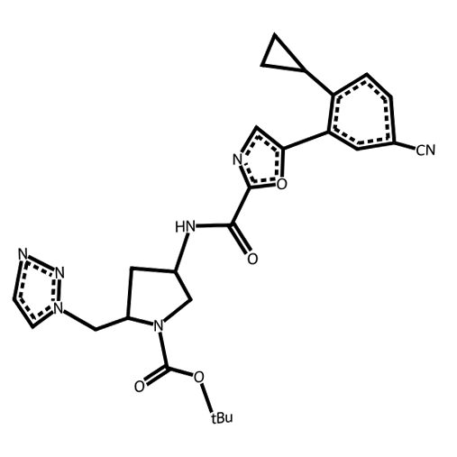 CC(C)(C)OC(=O)N1CC(NC(=O)c2ncc(-c3cc(C#N)ccc3C3CC3)o2)CC1Cn1ccnn1